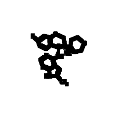 N#CC1([C@H]2COc3cc(F)ccc3[C@@H]2Nc2ncnc3[nH]c(C(F)(F)F)cc23)CCOCC1